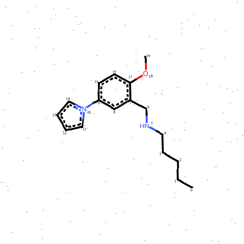 CCCCCNCc1cc(-n2cccc2)ccc1OC